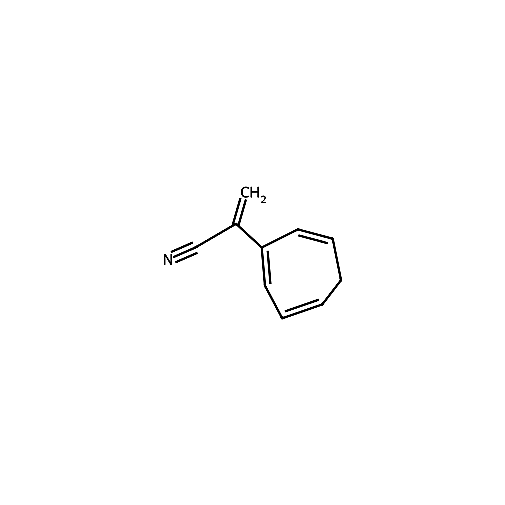 C=C(C#N)C1=CC=CCC=C1